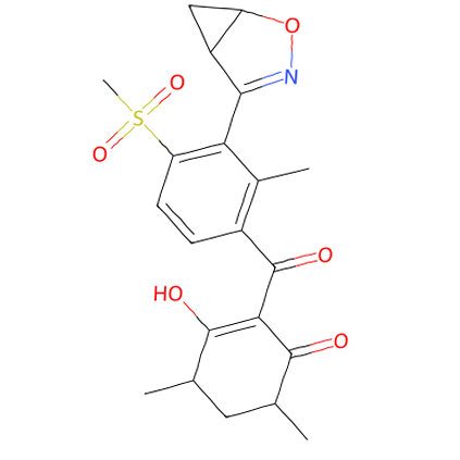 Cc1c(C(=O)C2=C(O)C(C)CC(C)C2=O)ccc(S(C)(=O)=O)c1C1=NOC2CC12